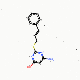 Nc1cc(O)nc(SCC=Cc2ccccc2)n1